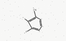 N#Cc1cccc(F)c1I